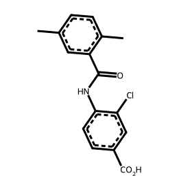 Cc1ccc(C)c(C(=O)Nc2ccc(C(=O)O)cc2Cl)c1